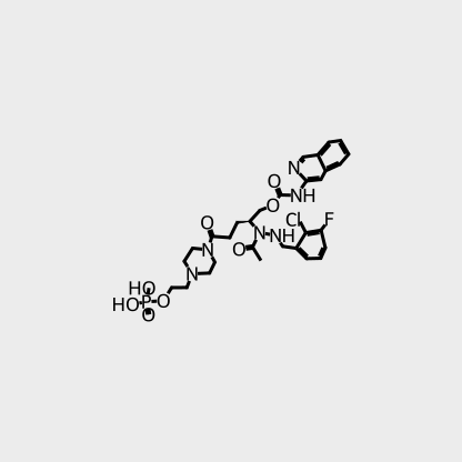 CC(=O)N(NCc1cccc(F)c1Cl)[C@@H](CCC(=O)N1CCN(CCOP(=O)(O)O)CC1)COC(=O)Nc1cc2ccccc2cn1